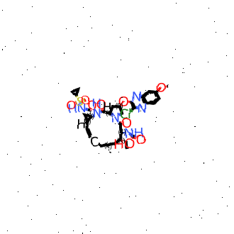 CC[C@@H]1C[C@H](C)CCC=C[C@@H]2C[C@@]2(C(=O)NS(=O)(=O)C2CC2)NC(=O)[C@@H]2C[C@@H](Oc3nc4cc(OC)ccc4nc3Cl)CN2C(=O)[C@H]1NC(=O)O